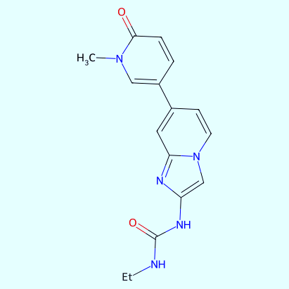 CCNC(=O)Nc1cn2ccc(-c3ccc(=O)n(C)c3)cc2n1